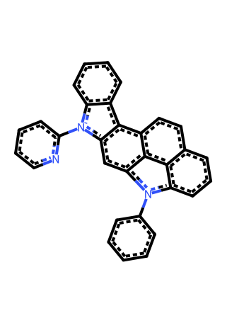 c1ccc(-n2c3cccc4ccc5c6c7ccccc7n(-c7ccccn7)c6cc2c5c43)cc1